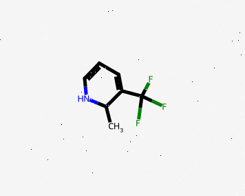 CC1NC=CC=C1C(F)(F)F